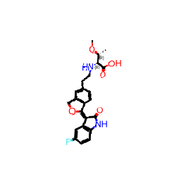 CO[C@H](C)[C@@H](NCCc1ccc2c(c1)COC2=C1C(=O)Nc2ccc(F)cc21)C(=O)O